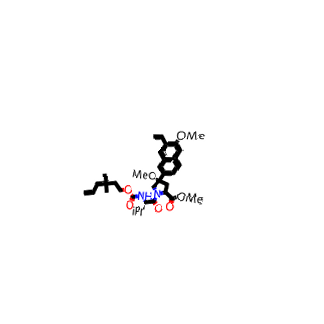 C=CCC(C)(C)CCOC(=O)N[C@H](C(=O)N1CC(OC)(c2ccc3cc(OC)c(C=C)cc3c2)CC1C(=O)OC)C(C)C